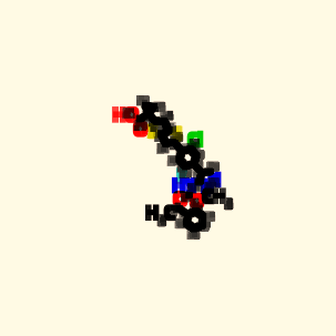 C[C@@H](OC(=O)Nc1c(-c2cc(Cl)c(-c3cc4sc(C5(C(=O)O)CC5)cc4s3)cc2F)cnn1C)c1ccccc1